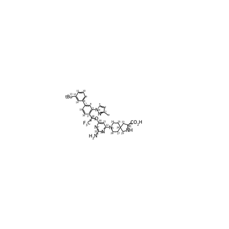 Cc1ccn(-c2cc(-c3cccc(C(C)(C)C)c3)ccc2[C@@H](Oc2cc(N3CCC4(CC3)CN[C@H](C(=O)O)C4)nc(N)n2)C(F)(F)F)n1